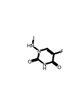 O=c1[nH]c(=O)n(NI)cc1F